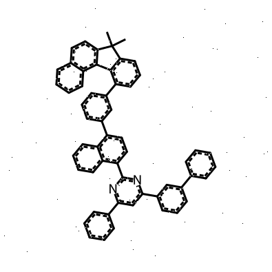 CC1(C)c2cccc(-c3cccc(-c4ccc(-c5nc(-c6ccccc6)cc(-c6cccc(-c7ccccc7)c6)n5)c5ccccc45)c3)c2-c2c1ccc1ccccc21